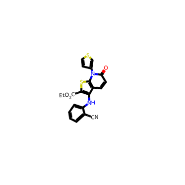 CCOC(=O)c1sc2c(ccc(=O)n2-c2ccsc2)c1Nc1ccccc1C#N